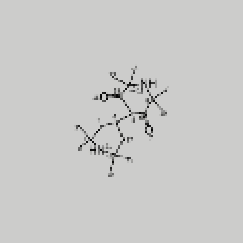 CC1(C)CC(C2C(=O)C(C)(C)NC(C)(C)C2=O)CC(C)(C)N1